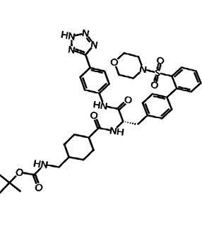 CC(C)(C)OC(=O)NCC1CCC(C(=O)N[C@@H](Cc2ccc(-c3ccccc3S(=O)(=O)N3CCOCC3)cc2)C(=O)Nc2ccc(-c3nn[nH]n3)cc2)CC1